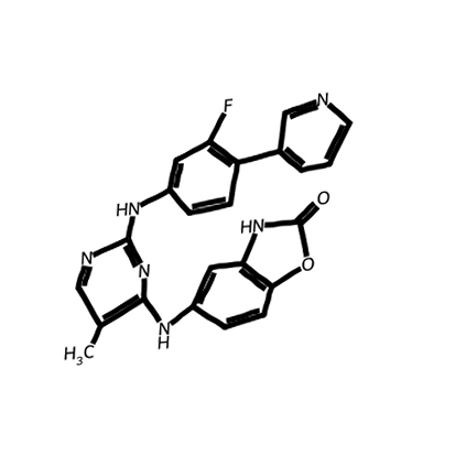 Cc1cnc(Nc2ccc(-c3cccnc3)c(F)c2)nc1Nc1ccc2oc(=O)[nH]c2c1